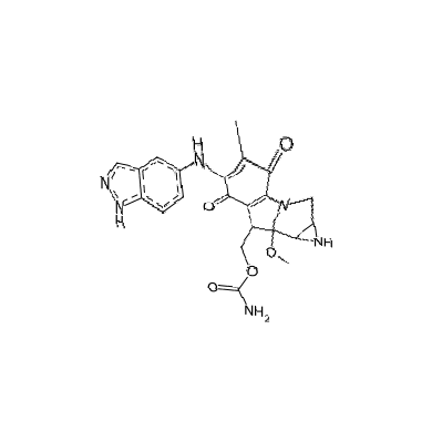 COC12C(COC(N)=O)C3=C(C(=O)C(C)=C(Nc4ccc5[nH]ncc5c4)C3=O)N1CC1NC12